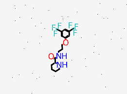 O=C(NCCCOc1cc(C(F)(F)F)cc(C(F)(F)F)c1)C1CCCCN1